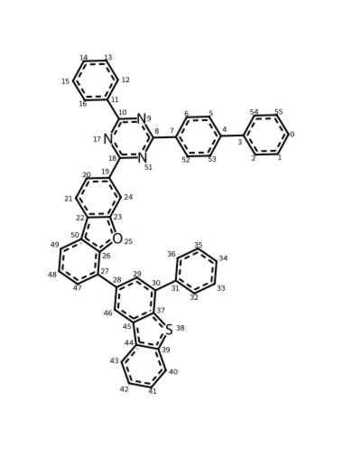 c1ccc(-c2ccc(-c3nc(-c4ccccc4)nc(-c4ccc5c(c4)oc4c(-c6cc(-c7ccccc7)c7sc8ccccc8c7c6)cccc45)n3)cc2)cc1